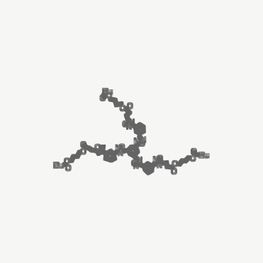 CCC(C)C(=O)OCCCCOC(=O)CCc1cc(-c2cccc(-c3noc(-c4cc(-c5nc(-c6cccc(-c7noc(CCC(=O)OCCCCOC(=O)C(C)CC)n7)c6)no5)cc(-c5nc(-c6cccc(-c7noc(CCC(=O)OCCCCOC(=O)C(C)CC)n7)c6)no5)c4)n3)c2)co1